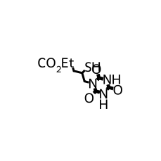 CCOC(=O)CC(S)Cn1c(=O)[nH]c(=O)[nH]c1=O